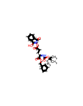 CC(C)(C)OC(=O)N[C@@H](CCC(=O)ON1C(=O)c2ccccc2C1O)C(=O)OCc1ccccc1